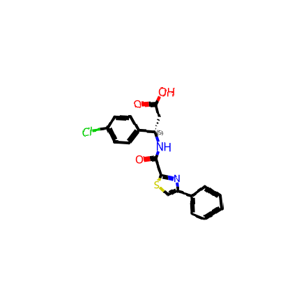 O=C(O)C[C@H](NC(=O)c1nc(-c2ccccc2)cs1)c1ccc(Cl)cc1